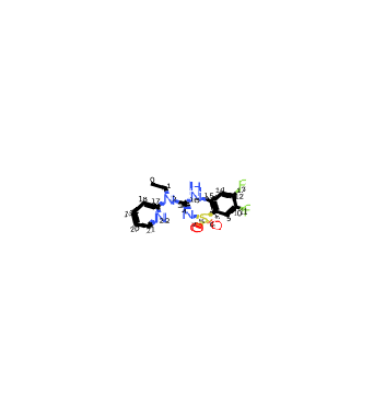 CCN(C1=NS(=O)(=O)c2cc(F)c(F)cc2N1)c1ccccn1